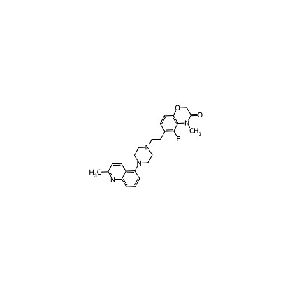 Cc1ccc2c(N3CCN(CCc4ccc5c(c4F)N(C)C(=O)CO5)CC3)cccc2n1